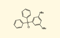 CCCCc1cc(CCCC)cc([Si](Cl)(c2ccccc2)c2ccccc2)c1